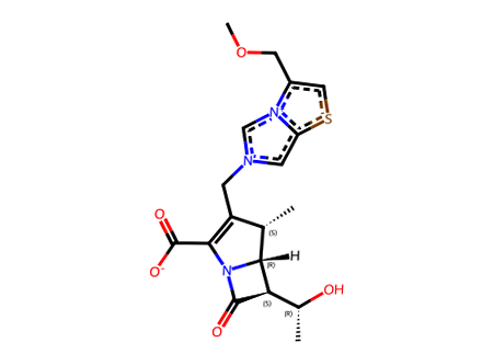 COCc1csc2cn(CC3=C(C(=O)[O-])N4C(=O)[C@H]([C@@H](C)O)[C@H]4[C@H]3C)c[n+]12